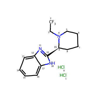 Cl.Cl.FC(F)(F)CN1CCCC[C@H]1c1nc2ccccc2[nH]1